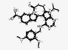 COc1ccc(CNc2ncnc3c2c2c(n3C(C)C)CCC(=O)n3c-2cc2ccc(C(=O)O)cc23)c(OC)c1